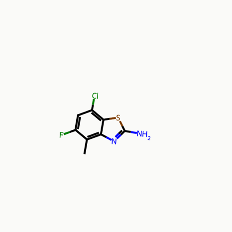 Cc1c(F)cc(Cl)c2sc(N)nc12